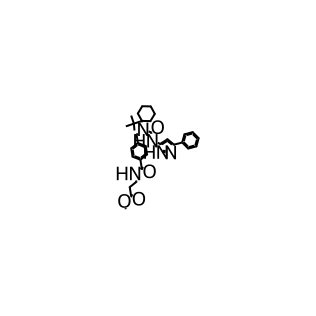 COC(=O)CCNC(=O)c1ccc(CN(C(=O)Nc2cc(-c3ccccc3)n[nH]2)C2(C(C)(C)C)CCCCC2)cc1